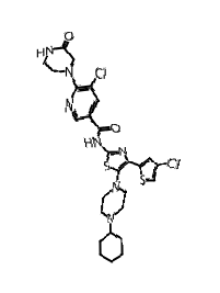 O=C1CN(c2ncc(C(=O)Nc3nc(-c4cc(Cl)cs4)c(N4CCN(C5CCCCC5)CC4)s3)cc2Cl)CCN1